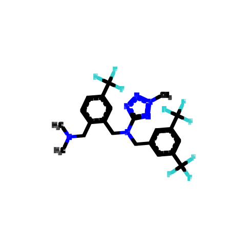 CN(C)Cc1ccc(C(F)(F)F)cc1CN(Cc1cc(C(F)(F)F)cc(C(F)(F)F)c1)c1nnn(C)n1